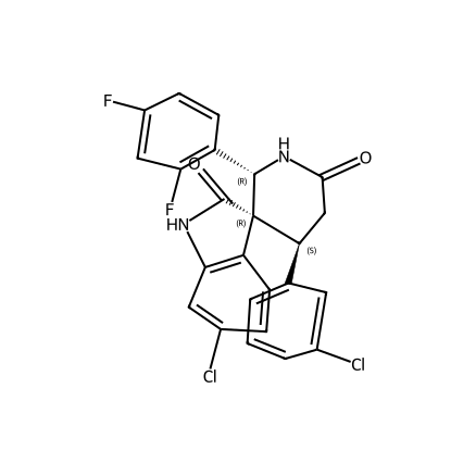 O=C1C[C@@H](c2cccc(Cl)c2)[C@]2(C(=O)Nc3cc(Cl)ccc32)[C@H](c2ccc(F)cc2F)N1